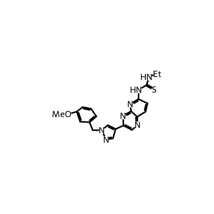 CCNC(=S)Nc1ccc2ncc(-c3cnn(Cc4cccc(OC)c4)c3)nc2n1